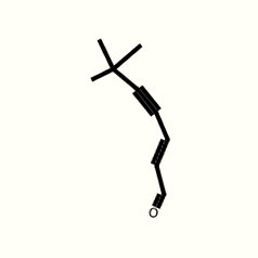 CC(C)(C)C#CC=CC=O